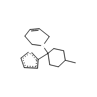 CC1CCC(c2cccs2)(N2CC=CCC2)CC1